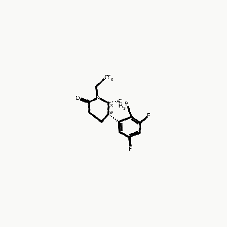 C[C@@H]1[C@H](c2cc(F)cc(F)c2F)CCC(=O)N1CC(F)(F)F